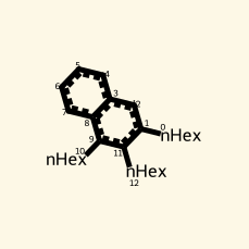 CCCCCCc1[c]c2ccccc2c(CCCCCC)c1CCCCCC